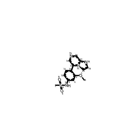 COc1cc(NS(C)(=O)=O)ccc1-c1cncc2nccn12